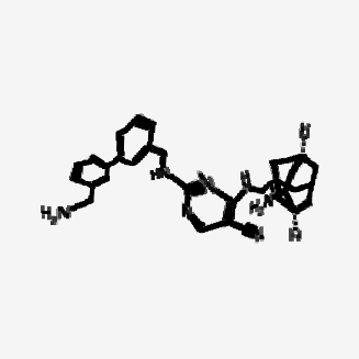 N#Cc1cnc(NCc2cccc(-c3cccc(CN)c3)c2)nc1NC[C@]12CC3C[C@H](C1)[C@@H](N)[C@@H](C3)C2